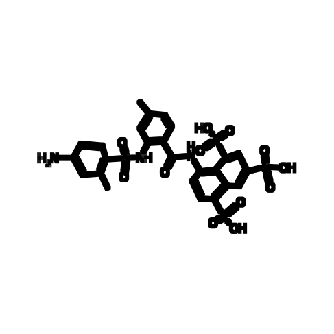 Cc1ccc(C(=O)Nc2ccc(S(=O)(=O)O)c3cc(S(=O)(=O)O)cc(S(=O)(=O)O)c23)c(NS(=O)(=O)c2ccc(N)cc2C)c1